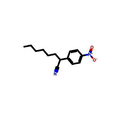 CCCCCCC(C#N)c1ccc([N+](=O)[O-])cc1